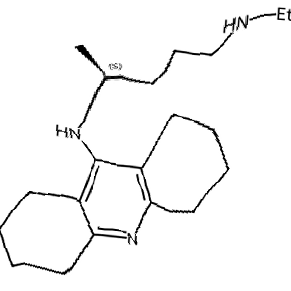 CCNCCC[C@H](C)Nc1c2c(nc3c1CCCC3)CCCC2